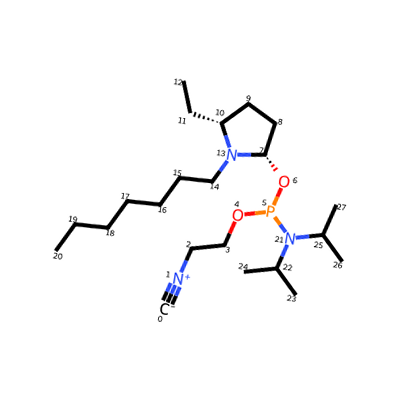 [C-]#[N+]CCOP(O[C@H]1CC[C@@H](CC)N1CCCCCCC)N(C(C)C)C(C)C